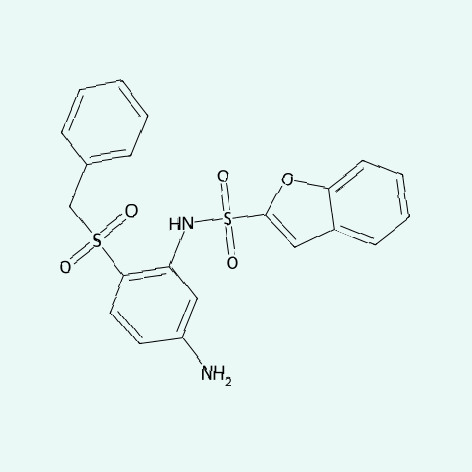 Nc1ccc(S(=O)(=O)Cc2ccccc2)c(NS(=O)(=O)c2cc3ccccc3o2)c1